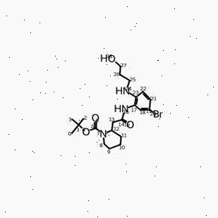 CC(C)(C)OC(=O)N1CCCCC1CC(=O)Nc1cc(Br)ccc1NCCCO